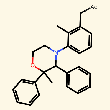 CC(=O)Cc1cccc(N2CCOC(C)(c3ccccc3)C2c2ccccc2)c1C